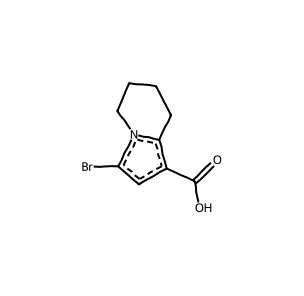 O=C(O)c1cc(Br)n2c1CCCC2